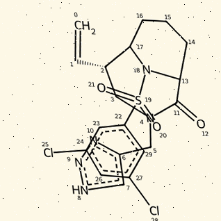 C=C[C@H]1CN(Cc2c[nH]nn2)C(=O)C2CCCC1N2S(=O)(=O)c1cc(Cl)cc(Cl)c1